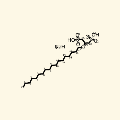 CCCCCCCCCCCCCCCCCCOC(CS(=O)(=O)O)CS(=O)(=O)O.[NaH]